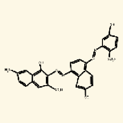 [NH]c1ccc(S(=O)(=O)O)c(/N=N/c2ccc(/N=N/c3c(S(=O)(=O)O)cc4ccc(N)cc4c3O)c3cc(S(=O)(=O)O)ccc23)c1